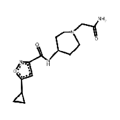 NC(=O)CN1CCC(NC(=O)c2cc(C3CC3)on2)CC1